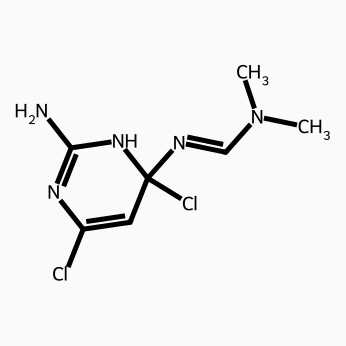 CN(C)C=NC1(Cl)C=C(Cl)N=C(N)N1